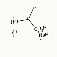 CC(O)C(=O)O.[NaH].[Zn]